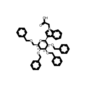 O=C(O)Cn1cc([C@@H]2O[C@H](COCc3ccccc3)[C@@H](OCc3ccccc3)[C@H](OCc3ccccc3)[C@H]2OCc2ccccc2)c2ccccc21